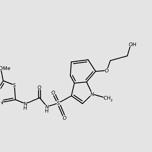 COc1cnc(NC(=O)NS(=O)(=O)c2cn(C)c3c(OCCO)cccc23)s1